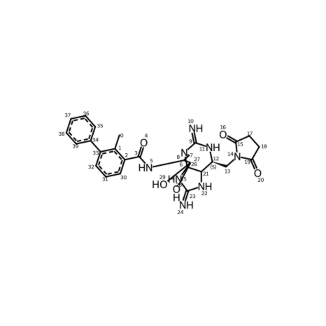 Cc1c(C(=O)NC2CN3C(=N)N[C@@H](CN4C(=O)CCC4=O)C4NC(=N)NC43C2(O)O)cccc1-c1ccccc1